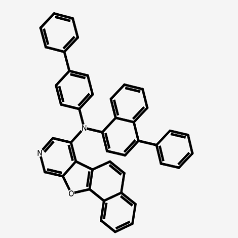 c1ccc(-c2ccc(N(c3ccc(-c4ccccc4)c4ccccc34)c3cncc4oc5c6ccccc6ccc5c34)cc2)cc1